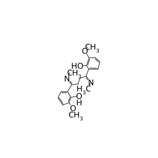 CN=C(CCC(=NC)c1cccc(OC)c1O)c1cccc(OC)c1O